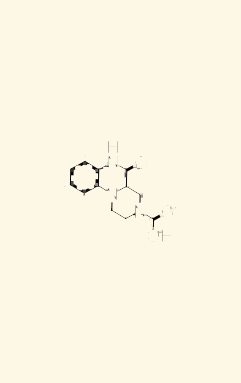 O=C1Nc2ccccc2N2CCN(C(=O)O)CC12